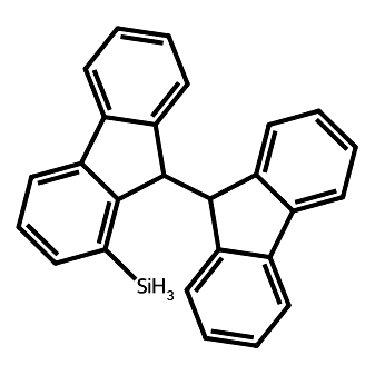 [SiH3]c1cccc2c1C(C1c3ccccc3-c3ccccc31)c1ccccc1-2